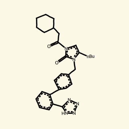 CCCCc1cn(C(=O)CC2CCCCC2)c(=O)n1Cc1ccc(-c2ccccc2-c2nnn[nH]2)cc1